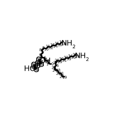 CCCCC/C=C\C/C=C\CCCCCCCCN.CCCCC/C=C\C/C=C\CCCCCCCCN.O=S(=O)(O)OOS(=O)(=O)O